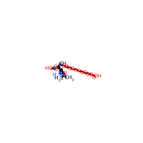 CCCN(CCC)C(=O)C1=Cc2ccc(-c3cc(CN(C)CCOCCOCCOCCOCCOCCOCCOCCOCCOCCOCCC(=O)O)cc(S(=O)(=O)N4CC(CO)C4)c3)cc2N=C(N)C1